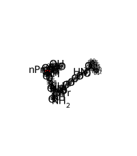 CCCC1O[C@@H]2C[C@H]3[C@@H]4C[C@H](F)C5=CC(=O)C=C[C@]5(C)[C@@]4(F)[C@@H](O)C[C@]3(C)[C@]2(C(=O)CNC(=O)OCc2ccc(NC(=O)[C@H](CCCNC(N)=O)NC(=O)[C@@H](NC(=O)CCOCCOCCOCCOCCNC(=O)CCC(=O)N3Cc4ccccc4C#Cc4ccccc43)C(C)C)cc2)O1